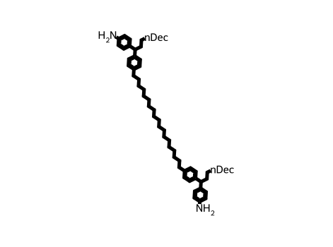 CCCCCCCCCCCCC(c1ccc(N)cc1)c1ccc(CCCCCCCCCCCCCCCCCCCc2ccc(C(CCCCCCCCCCCC)c3ccc(N)cc3)cc2)cc1